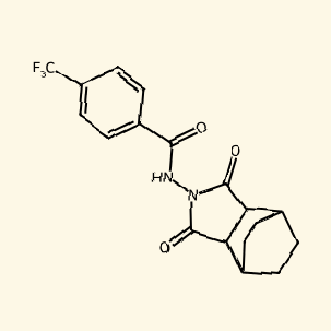 O=C(NN1C(=O)C2C3CCC(CC3)C2C1=O)c1ccc(C(F)(F)F)cc1